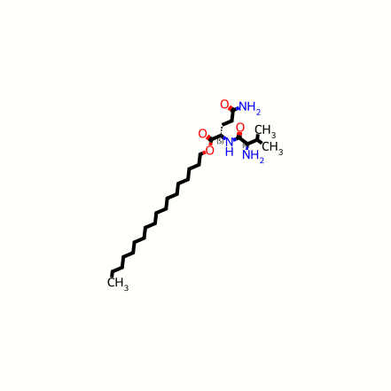 CCCCCCCCCCCCCCCCCCOC(=O)[C@H](CCC(N)=O)NC(=O)[C@H](N)C(C)C